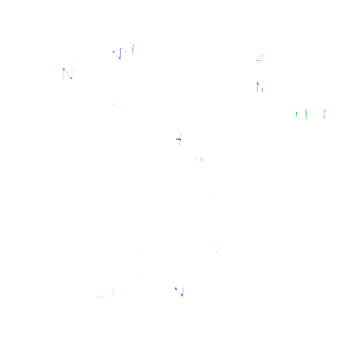 CO/N=C1\C[C@@H](CCC(=O)Nc2ncc(C)s2)C2[C@@H]3CCc4cc(N5CCCC5C(=O)O)ccc4C3CC[C@]12C.Cl